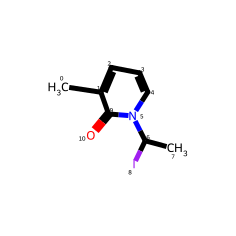 Cc1cccn(C(C)I)c1=O